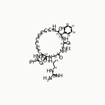 CC[C@@H]1NC(=O)[C@H](CCCNC(=N)N)NC(=O)[C@](C)(NC(=O)C(C)C)CCCCCCCCNC(=O)[C@@H](c2ccccc2)NC1=O